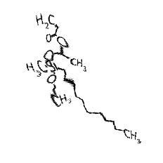 C=CC(=O)OC(C)O[Si](C)(CCCCCCCCCCC)OCC